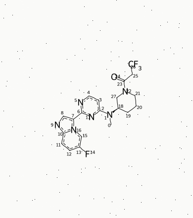 CN(c1ccnc(-c2cnc3ccc(F)cn23)n1)[C@@H]1CCCN(C(=O)CC(F)(F)F)C1